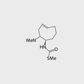 CNC1C/C=C/CCC[C@H]1NC(=O)SC